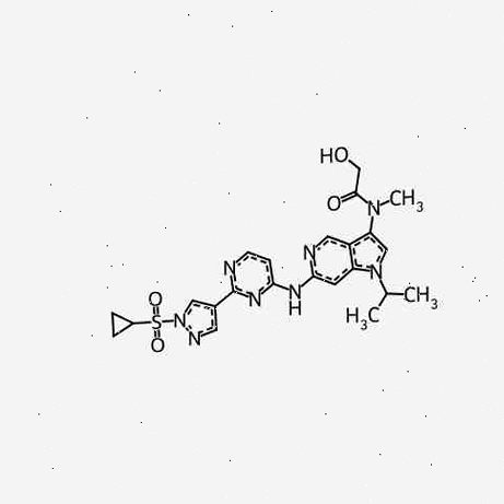 CC(C)n1cc(N(C)C(=O)CO)c2cnc(Nc3ccnc(-c4cnn(S(=O)(=O)C5CC5)c4)n3)cc21